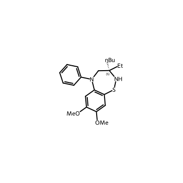 CCCC[C@@]1(CC)CN(c2ccccc2)c2cc(OC)c(OC)cc2SN1